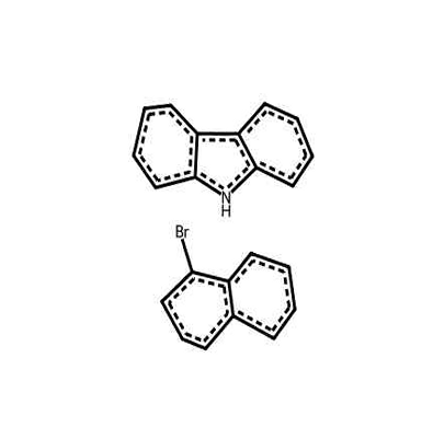 Brc1cccc2ccccc12.c1ccc2c(c1)[nH]c1ccccc12